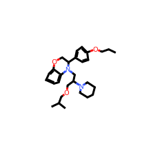 CCCOc1ccc(C2COc3ccccc3N2CC(COCC(C)C)N2CCCCC2)cc1